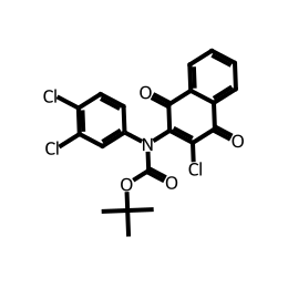 CC(C)(C)OC(=O)N(C1=C(Cl)C(=O)c2ccccc2C1=O)c1ccc(Cl)c(Cl)c1